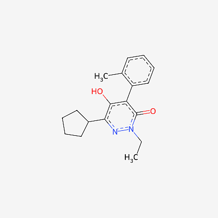 CCn1nc(C2CCCC2)c(O)c(-c2ccccc2C)c1=O